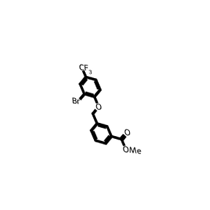 COC(=O)c1cccc(COc2ccc(C(F)(F)F)cc2Br)c1